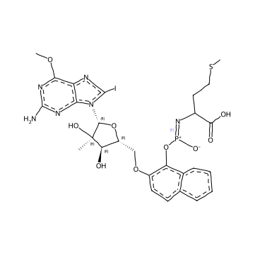 COc1nc(N)nc2c1nc(I)n2[C@@H]1O[C@H](COc2ccc3ccccc3c2O/[P+]([O-])=N/C(CCSC)C(=O)O)[C@@H](O)[C@@]1(C)O